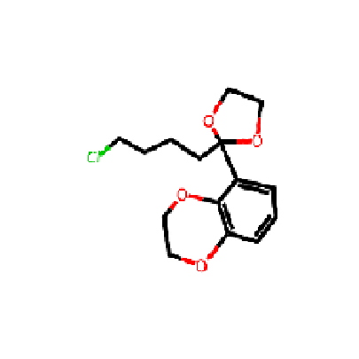 ClCCCCC1(c2cccc3c2OCCO3)OCCO1